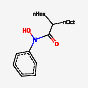 CCCCCCCCC(CCCCCC)C(=O)N(O)c1ccccc1